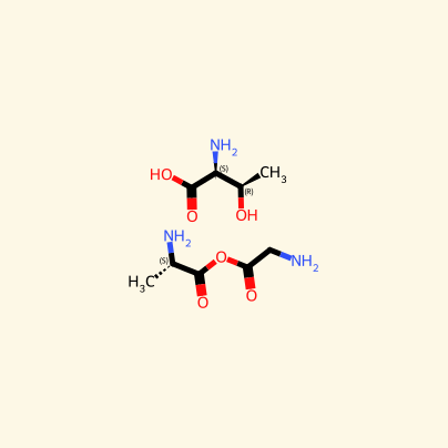 C[C@@H](O)[C@H](N)C(=O)O.C[C@H](N)C(=O)OC(=O)CN